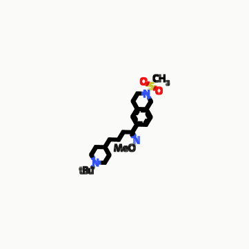 CON=C(CCCC1CCN(C(C)(C)C)CC1)c1ccc2c(c1)CCN(S(C)(=O)=O)C2